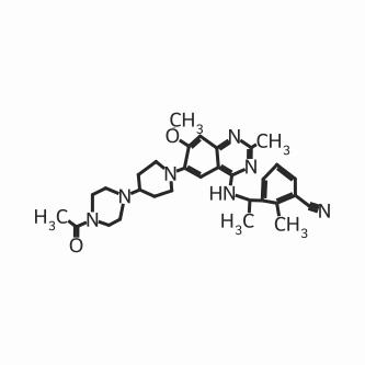 COc1cc2nc(C)nc(NC(C)c3cccc(C#N)c3C)c2cc1N1CCC(N2CCN(C(C)=O)CC2)CC1